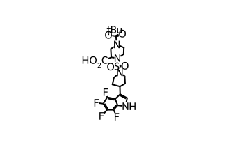 CC(C)(C)OC(=O)N1CCN(S(=O)(=O)N2CCC(c3c[nH]c4c(F)c(F)c(F)c(F)c34)CC2)C(C(=O)O)C1